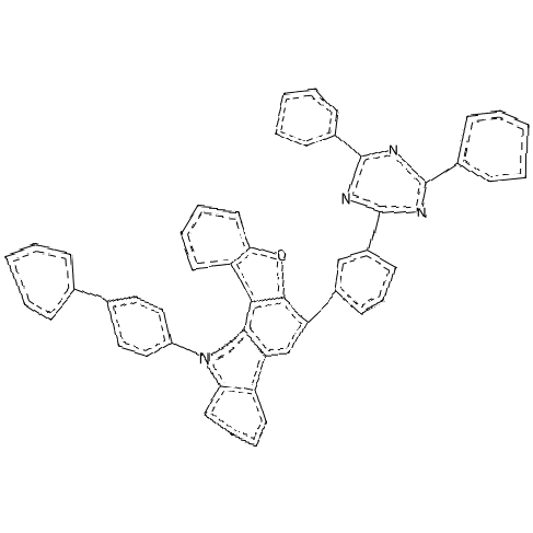 c1ccc(-c2ccc(-n3c4ccccc4c4cc(-c5cccc(-c6nc(-c7ccccc7)nc(-c7ccccc7)n6)c5)c5oc6ccccc6c5c43)cc2)cc1